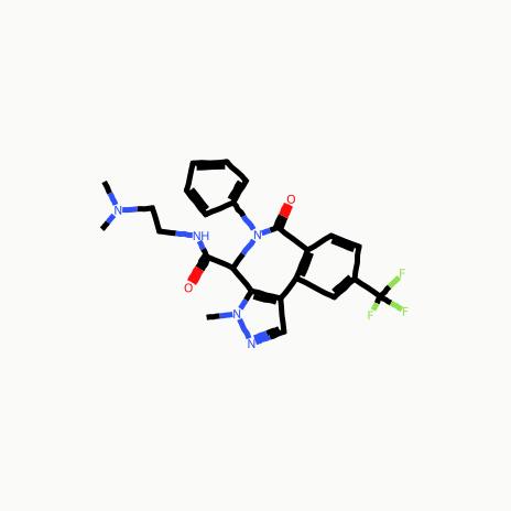 CN(C)CCNC(=O)C1c2c(cnn2C)-c2cc(C(F)(F)F)ccc2C(=O)N1c1ccccc1